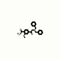 COc1cc(C(=O)CN(Cc2ccccc2)Cc2ccccc2)ccc1C(N)=O